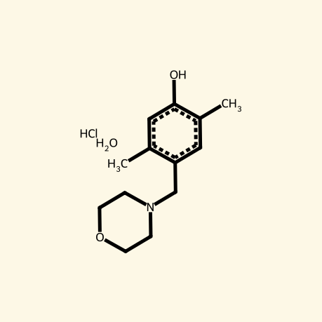 Cc1cc(CN2CCOCC2)c(C)cc1O.Cl.O